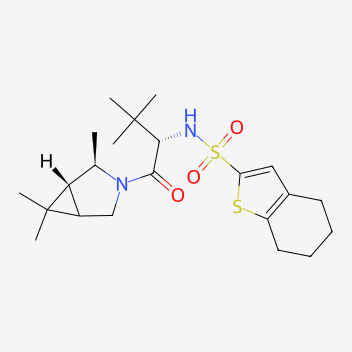 C[C@@H]1[C@@H]2C(CN1C(=O)[C@@H](NS(=O)(=O)c1cc3c(s1)CCCC3)C(C)(C)C)C2(C)C